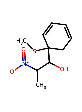 CSC1(C(O)C(C)[N+](=O)[O-])C=CC=CC1